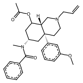 C=CCN1CC[C@@]2(c3cccc(OC)c3)C[C@H](N(C)C(=O)c3ccccc3)CC(OC(C)=O)[C@@H]2C1